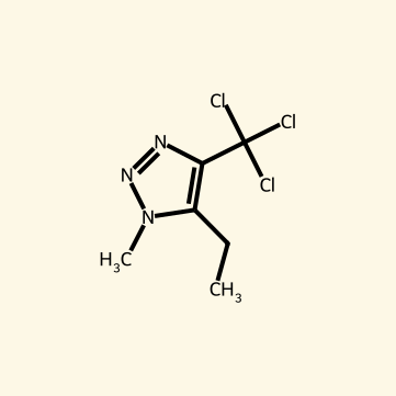 CCc1c(C(Cl)(Cl)Cl)nnn1C